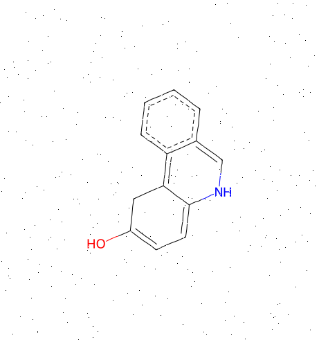 OC1=CC=C2NC=c3ccccc3=C2C1